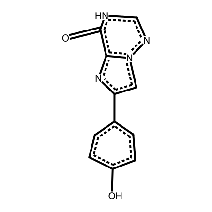 O=c1[nH]cnn2cc(-c3ccc(O)cc3)nc12